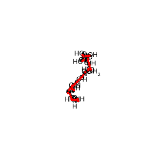 CNC(=O)[C@H](CC(C)C)NC(=O)[C@H](C)NC(=O)CCSCc1cccc(CSC[C@H](NC(=O)CC(C)C)C(=O)NCCCOCCOCCOCCCNC(=O)CCC(=O)N[C@@H](CCCCNC(=O)CN2CCN(CC(=O)O)CCN(CC(=O)O)CCN(CC(=O)O)CC2)C(N)=O)c1